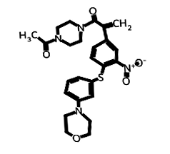 C=C(C(=O)N1CCN(C(C)=O)CC1)c1ccc(Sc2cccc(N3CCOCC3)c2)c([N+](=O)[O-])c1